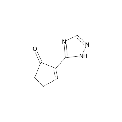 O=C1CCC=C1c1ncn[nH]1